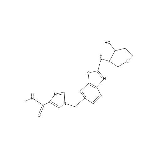 CNC(=O)c1cn(Cc2ccc3nc(NC4CCCCC4O)sc3c2)cn1